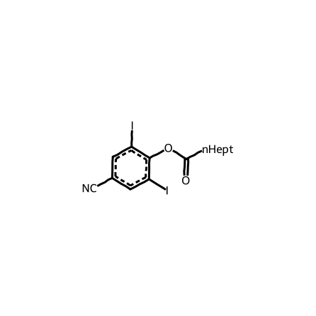 CCCCCCCC(=O)Oc1c(I)cc(C#N)cc1I